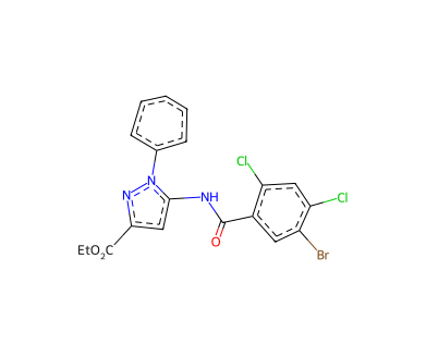 CCOC(=O)c1cc(NC(=O)c2cc(Br)c(Cl)cc2Cl)n(-c2ccccc2)n1